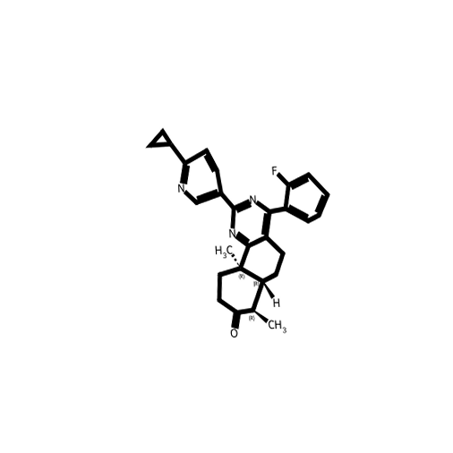 C[C@H]1C(=O)CC[C@@]2(C)c3nc(-c4ccc(C5CC5)nc4)nc(-c4ccccc4F)c3CC[C@H]12